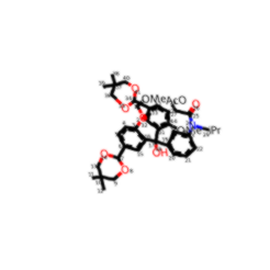 COCOc1ccc(C2OCC(C)(C)CO2)cc1C(O)(c1cccc(N(C(=O)COC(C)=O)C(C)C)c1)c1cc(C2OCC(C)(C)CO2)ccc1OC